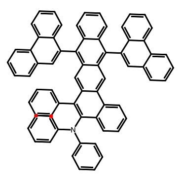 c1ccc(-c2c(N(c3ccccc3)c3ccccc3)c3ccccc3c3cc4c(-c5cc6ccccc6c6ccccc56)c5ccccc5c(-c5cc6ccccc6c6ccccc56)c4cc23)cc1